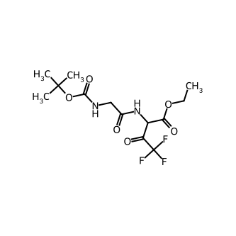 CCOC(=O)C(NC(=O)CNC(=O)OC(C)(C)C)C(=O)C(F)(F)F